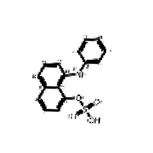 O=S(=O)(O)Oc1cccc2cccc(Nc3ccccc3)c12